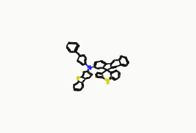 c1ccc(-c2ccc(N(c3ccc4c(c3)C3(c5ccccc5Sc5ccccc53)c3cc5ccccc5cc3-4)c3ccc4c(c3)sc3ccccc34)cc2)cc1